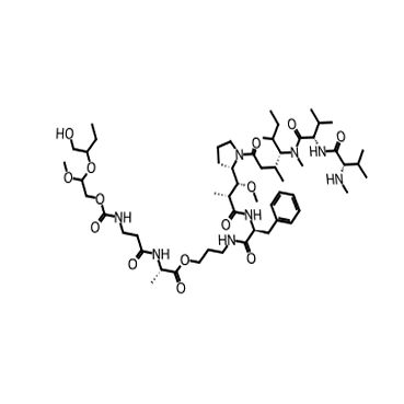 CCC(CO)OC(COC(=O)NCCC(=O)N[C@@H](C)C(=O)OCCCNC(=O)[C@H](Cc1ccccc1)NC(=O)[C@H](C)[C@@H](OC)[C@@H]1CCCN1C(=O)CC(C)[C@H](C(C)CC)N(C)C(=O)[C@@H](NC(=O)[C@@H](NC)C(C)C)C(C)C)OC